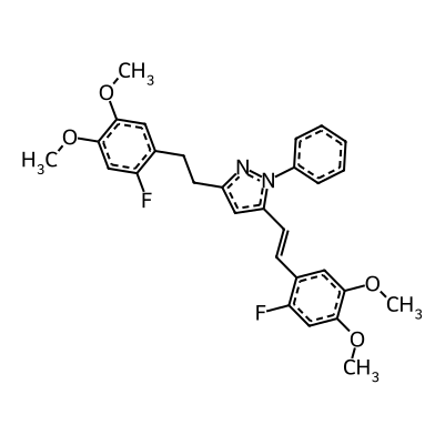 COc1cc(F)c(/C=C/c2cc(CCc3cc(OC)c(OC)cc3F)nn2-c2ccccc2)cc1OC